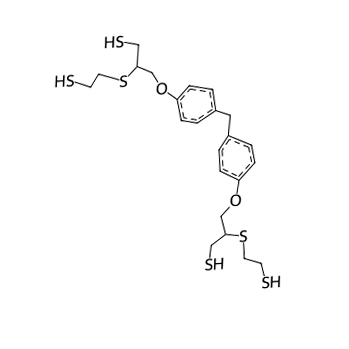 SCCSC(CS)COc1ccc(Cc2ccc(OCC(CS)SCCS)cc2)cc1